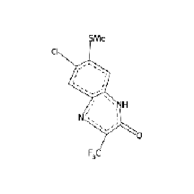 CSc1cc2[nH]c(=O)c(C(F)(F)F)nc2cc1Cl